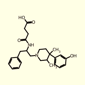 CC1CN(CC(Cc2ccccc2)NC(=O)CCC(=O)O)CCC1(C)c1cccc(O)c1